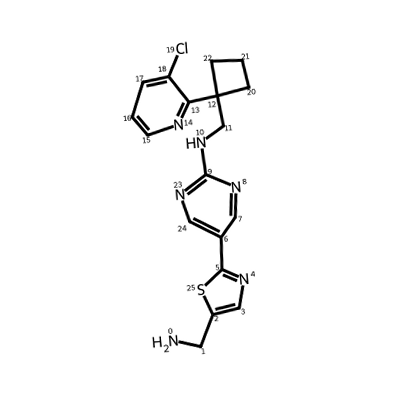 NCc1cnc(-c2cnc(NCC3(c4ncccc4Cl)CCC3)nc2)s1